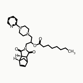 CCCCCCCC(=O)OC(CN1CCN(c2ccccn2)CC1)CN1C(=O)C2C3C=C[C@@H](C3)[C@@H]2C1=O